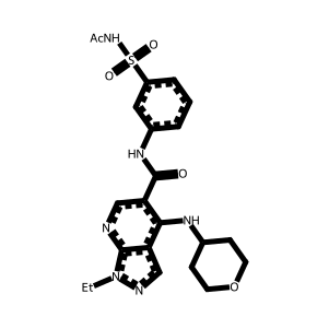 CCn1ncc2c(NC3CCOCC3)c(C(=O)Nc3cccc(S(=O)(=O)NC(C)=O)c3)cnc21